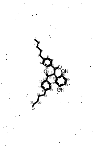 CCCCCc1ccc(C(=O)C(C(=O)c2ccc(CCCCC)cc2)c2cc(O)ccc2O)cc1